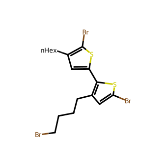 CCCCCCc1cc(-c2sc(Br)cc2CCCCBr)sc1Br